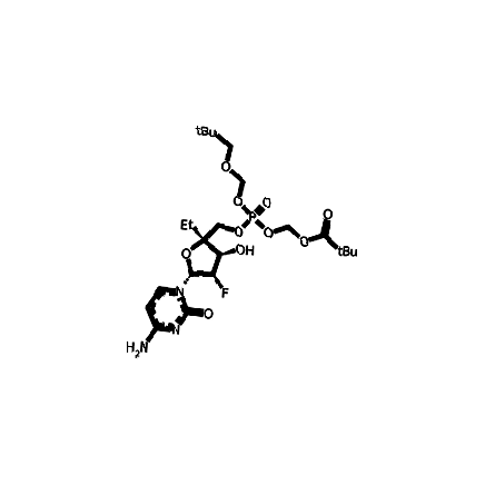 CC[C@]1(COP(=O)(OCOCC(C)(C)C)OCOC(=O)C(C)(C)C)O[C@@H](n2ccc(N)nc2=O)[C@H](F)[C@@H]1O